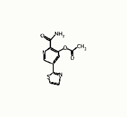 CC(=O)Oc1cc(-c2nccs2)cnc1C(N)=O